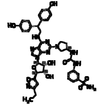 CCc1cc([C@H]2O[C@@H](n3cnc4c(NCC(c5ccc(O)cc5)c5ccc(O)cc5)nc(N5CC[C@@H](NC(=O)Nc6cccc(S(N)(=O)=O)c6)C5)nc43)[C@H](O)[C@@H]2O)on1